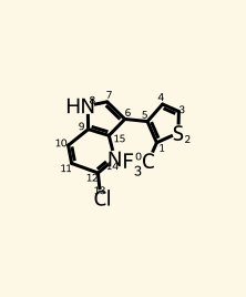 FC(F)(F)c1sccc1-c1c[nH]c2ccc(Cl)nc12